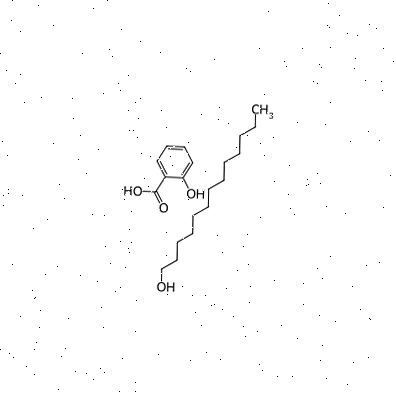 CCCCCCCCCCCCCO.O=C(O)c1ccccc1O